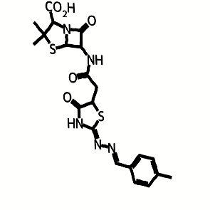 Cc1ccc(/C=N/N=C2/NC(=O)C(CC(=O)NC3C(=O)N4C3SC(C)(C)C4C(=O)O)S2)cc1